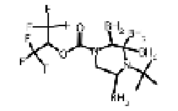 BC1CN(C(=O)OC(C(F)(F)F)C(F)(F)F)C(B)C(B)(B)N1C(C)(C)C